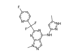 Cc1cc(Nc2nc(C(F)(F)c3ccc(F)cn3)nc3c2cnn3C)n[nH]1